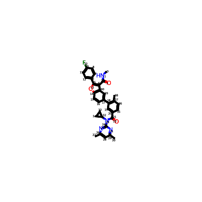 CNC(=O)c1c(-c2ccc(F)cc2)oc2ccc(-c3cc(C(=O)N(c4nc(C)cc(C)n4)C4CC4)ccc3C)cc12